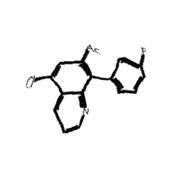 CC(=O)c1cc(Cl)c2cccnc2c1-c1cccc(F)c1